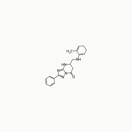 CC1=CCCC=C1NCC1CC(=O)n2nc(-c3ccccc3)nc2N1